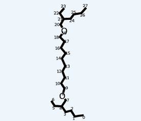 CCCCC(CC)COCCCCCCCCCCOCC(CC)CCCC